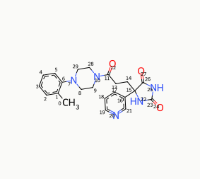 Cc1ccccc1N1CCN(C(=O)CCC2(c3cccnc3)NC(=O)NC2=O)CC1